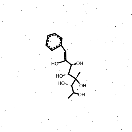 CC(O)[C@H](O)[C@@](C)(O)[C@H](O)[C@H](O)C(O)=Cc1ccccc1